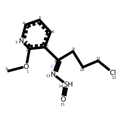 COc1ncccc1/C(CCCCl)=N/[SH]=O